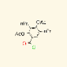 CCCc1cc(C(=O)Cl)c(OC(C)=O)c(CCC)c1OC(C)=O